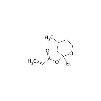 C=CC(=O)OC1(CC)CC(C)CCO1